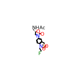 CC(=O)NC[C@H]1CN(c2ccc3c(c2)CS(=O)(=O)N3CCF)C(=O)O1